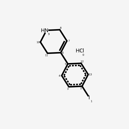 Cl.Ic1ccc(C2=CCNCC2)cc1